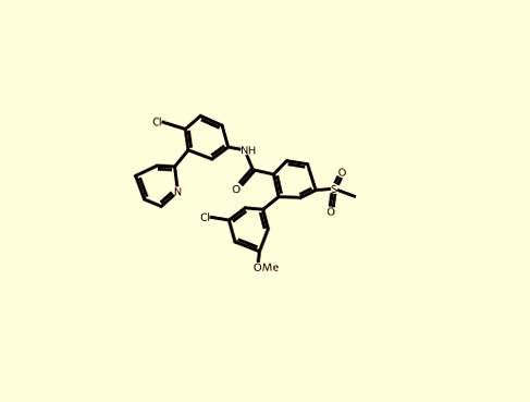 COc1cc(Cl)cc(-c2cc(S(C)(=O)=O)ccc2C(=O)Nc2ccc(Cl)c(-c3ccccn3)c2)c1